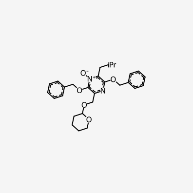 CC(C)Cc1c(OCc2ccccc2)nc(COC2CCCCO2)c(OCc2ccccc2)[n+]1[O-]